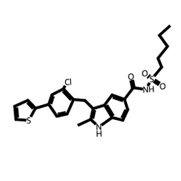 CCCCCS(=O)(=O)NC(=O)c1ccc2[nH]c(C)c(Cc3ccc(-c4cccs4)cc3Cl)c2c1